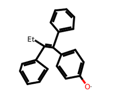 CC/C(=C(\c1ccccc1)c1ccc([O])cc1)c1ccccc1